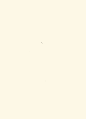 Cn1cc(-c2cc(C(C)(C)O)ccc2Oc2ccc(F)cc2F)c2cc(C(=O)NC3(C#N)CC3)sc2c1=O